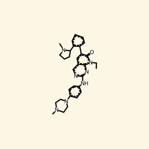 CCn1c(=O)c(-c2ccccc2C2CCCN2C)cc2cnc(Nc3ccc(N4CCN(C)CC4)cc3)nc21